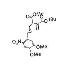 COC(=O)[C@H](CSCc1cc(OC)c(OC)cc1[N+](=O)[O-])NC(=O)OC(C)(C)C